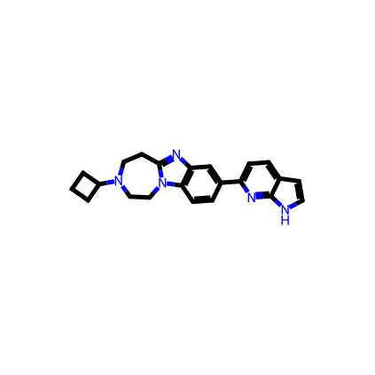 c1cc2ccc(-c3ccc4c(c3)nc3n4CCN(C4CCC4)CC3)nc2[nH]1